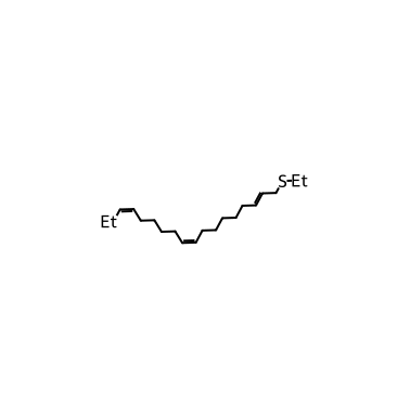 CC/C=C\CCCC/C=C\CCCCC/C=C/CSCC